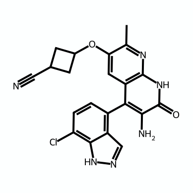 Cc1nc2[nH]c(=O)c(N)c(-c3ccc(Cl)c4[nH]ncc34)c2cc1OC1CC(C#N)C1